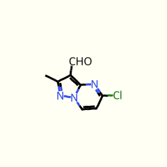 Cc1nn2ccc(Cl)nc2c1C=O